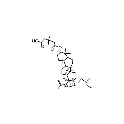 C=C(C)[C@@H]1CC[C@]2(CCN(C)CC)CC[C@]3(C)[C@H](CCC4[C@@]5(C)CC[C@H](OC(=O)CC(C)(C)CC(=O)O)C(C)(C)C5CC[C@]43C)[C@@H]12